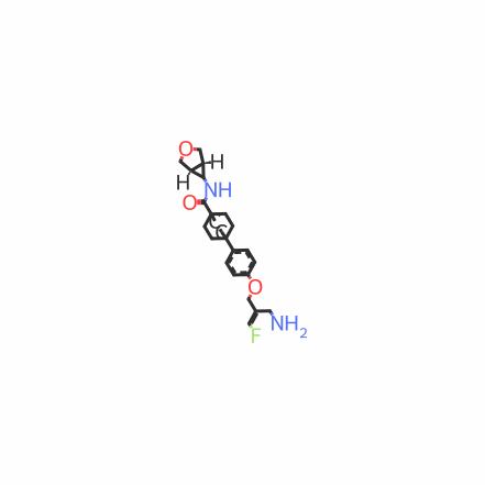 NC/C(=C\F)COc1ccc(C23CCC(C(=O)NC4[C@H]5COC[C@H]45)(CC2)CC3)cc1